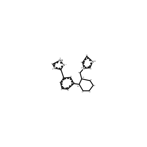 c1cc(-c2nc[nH]n2)cc(C2CCCCC2Cn2ccnc2)c1